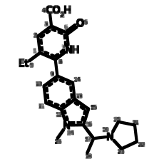 CCc1cc(C(=O)O)c(=O)[nH]c1-c1ccc2c(c1)cc(C(C)N1CCCC1)n2C